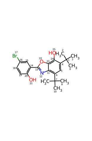 CC(C)(C)c1cc(C(C)(C)C)c2nc(-c3cc(Br)ccc3O)oc2c1O